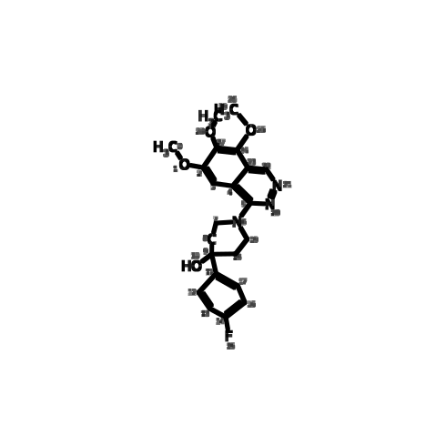 COc1cc2c(N3CCC(O)(c4ccc(F)cc4)CC3)nncc2c(OC)c1OC